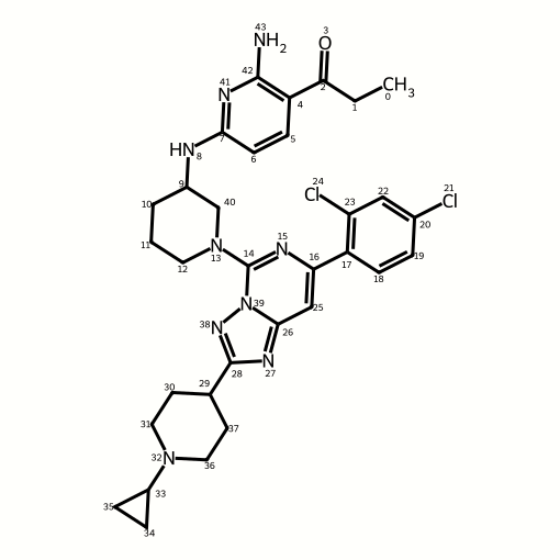 CCC(=O)c1ccc(NC2CCCN(c3nc(-c4ccc(Cl)cc4Cl)cc4nc(C5CCN(C6CC6)CC5)nn34)C2)nc1N